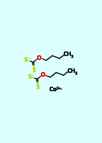 CCCCOC(=S)[S-].CCCCOC(=S)[S-].[Co+2]